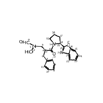 O=CN(O)C[C@H](Cc1ccccc1)C(=O)N1CCC[C@H]1c1nc2ccccc2o1